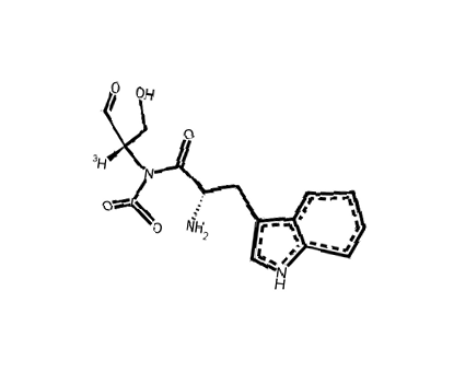 [3H][C@@]([C]=O)(CO)N(C(=O)[C@@H](N)Cc1c[nH]c2ccccc12)I(=O)=O